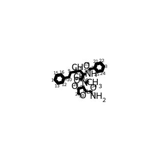 CN(C(=O)C(CC(C)(C)CCc1ccccc1)NC(=O)c1ccccc1)C1C(=O)CO[C@@H]1C(N)=O